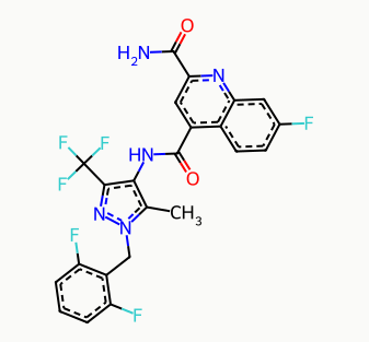 Cc1c(NC(=O)c2cc(C(N)=O)nc3cc(F)ccc23)c(C(F)(F)F)nn1Cc1c(F)cccc1F